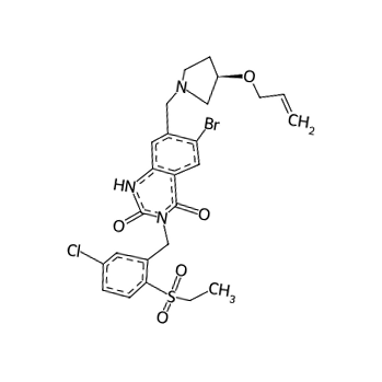 C=CCO[C@@H]1CCN(Cc2cc3[nH]c(=O)n(Cc4cc(Cl)ccc4S(=O)(=O)CC)c(=O)c3cc2Br)C1